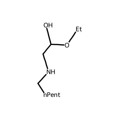 CCCCCCNCC(O)OCC